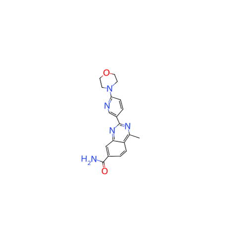 Cc1nc(-c2ccc(N3CCOCC3)nc2)nc2cc(C(N)=O)ccc12